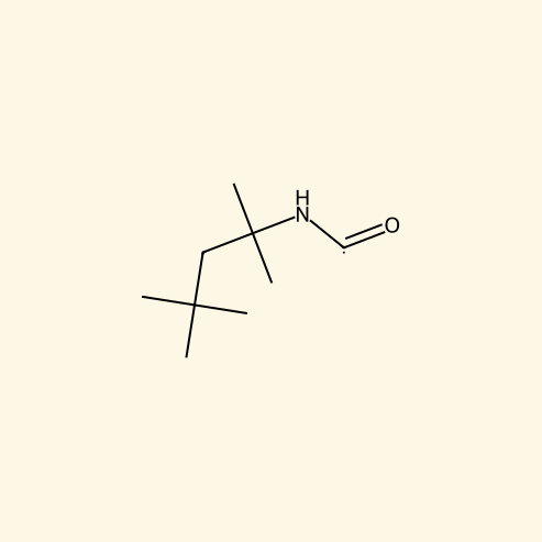 CC(C)(C)CC(C)(C)N[C]=O